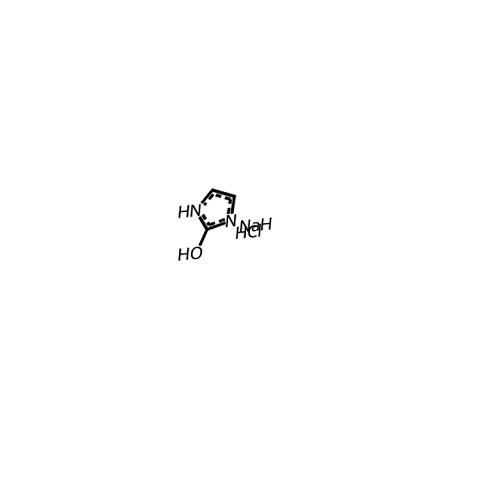 Cl.Oc1ncc[nH]1.[NaH]